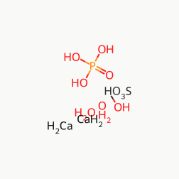 O.O.O=P(O)(O)O.O=S(=O)(O)O.[CaH2].[CaH2]